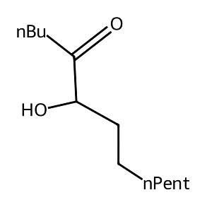 CCCCCCCC(O)C(=O)CCCC